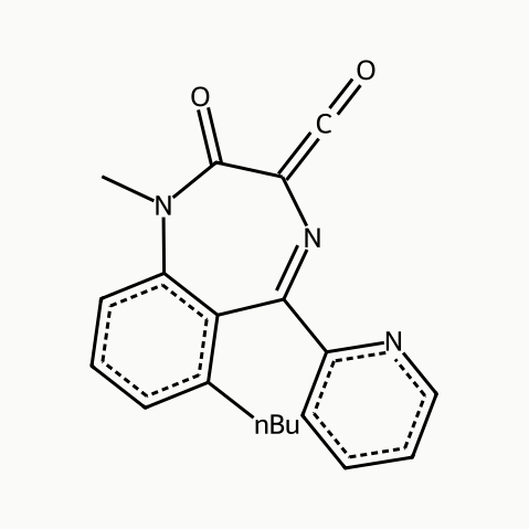 CCCCc1cccc2c1C(c1ccccn1)=NC(=C=O)C(=O)N2C